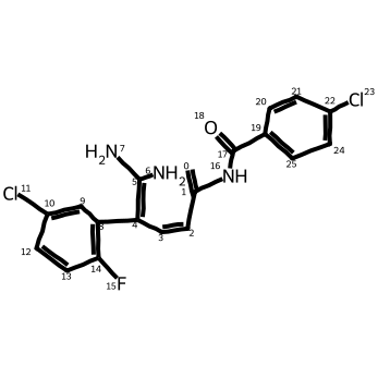 C=C(/C=C\C(=C(N)N)c1cc(Cl)ccc1F)NC(=O)c1ccc(Cl)cc1